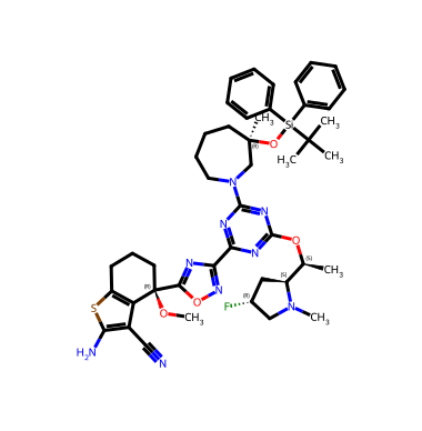 CO[C@]1(c2nc(-c3nc(O[C@@H](C)[C@@H]4C[C@@H](F)CN4C)nc(N4CCCC[C@@](C)(O[Si](c5ccccc5)(c5ccccc5)C(C)(C)C)C4)n3)no2)CCCc2sc(N)c(C#N)c21